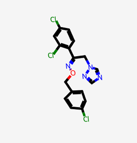 Clc1ccc(CON=C(Cn2cncn2)c2ccc(Cl)cc2Cl)cc1